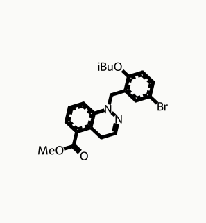 COC(=O)c1cccc2c1CC=NN2Cc1cc(Br)ccc1OCC(C)C